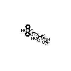 O=C(CON=C(C(=O)O)c1csc(NC(=O)C(F)(F)F)n1)OC(c1ccccc1)c1ccccc1O